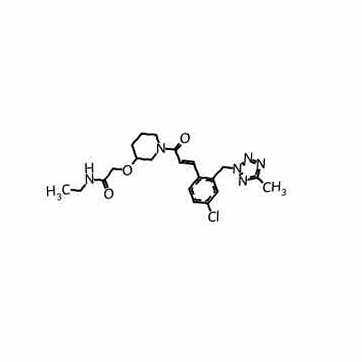 CCNC(=O)COC1CCCN(C(=O)C=Cc2ccc(Cl)cc2Cn2nnc(C)n2)C1